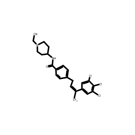 N#CCN1CCC(NC(=O)c2ccc(CC=C(c3cc(Cl)c(Cl)c(Cl)c3)C(F)(F)F)cc2)CC1